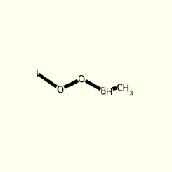 CBOOI